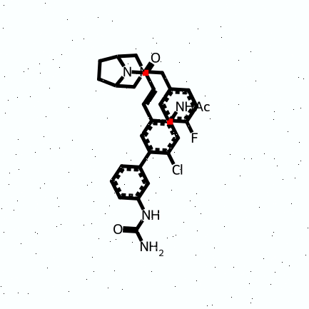 CC(=O)Nc1cc(Cl)c(-c2cccc(NC(N)=O)c2)cc1/C=C/C(=O)N1C2CCC1CN(Cc1ccc(F)cc1)C2